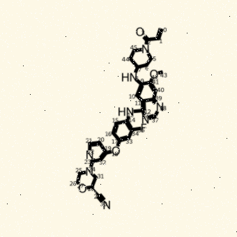 C=CC(=O)N1CCC(Nc2cc3c(Nc4ccc(Oc5ccnc(N6CCO[C@H](C#N)C6)c5)cc4F)ncnc3cc2OC)CC1